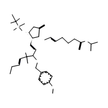 CC/C=C/C(F)(F)C(/C=C/[C@H]1[C@H](O[Si](C)(C)C(C)(C)C)CC(=O)[C@@H]1C/C=C/CCCC(=O)OC(C)C)OCc1ccc(OC)cc1